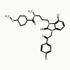 COC1CCC(C(=O)N(C)CCCn2c(=N)n(CC(=O)c3ccc(Cl)cc3)c3cccc(Cl)c32)CC1